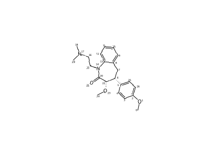 COc1ccc([C@H]2Cc3ccccc3N(CCN(C)C)C(=O)[C@H]2OC)cc1